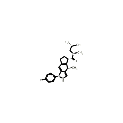 C[C@H]1C2=CNN(c3ccc(F)cc3)C2=CC2=C1[C@@H](C(=O)N(C)C[C@@H](O)C(F)(F)F)CC2